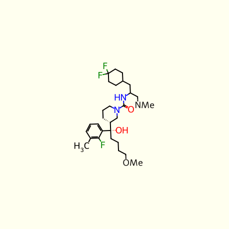 CNCC(CC1CCC(F)(F)CC1)NC(=O)N1CCC[C@@H]([C@@](O)(CCCCOC)c2cccc(C)c2F)C1